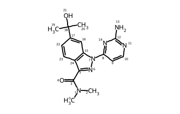 CN(C)C(=O)c1nn(-c2ccnc(N)n2)c2cc(C(C)(C)O)ccc12